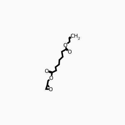 C=CCOC(=O)CCCCCCC(=O)OCC1CO1